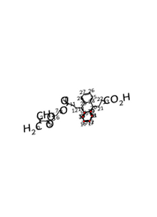 C=C(C)C(=O)OCCOC(=O)CCC12c3ccccc3C(CCC(=O)O)(c3ccccc31)c1ccccc12